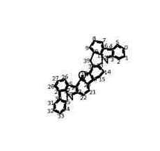 c1ccc2c(c1)c1cccc3c1n2-c1ccc2c(oc4c2ccc2c4c4cccc5c6ccccc6n2c54)c1C3